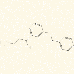 NCCC(O)c1cccc(SCc2ccccc2)c1